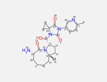 Cc1ccc(N2C(=O)N(C(=O)[C@@H]3CC[C@@H]4CCCC[C@H](N)C(=O)N43)C3(CC3)C2=O)cn1